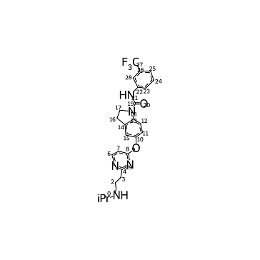 CC(C)NCCc1nccc(Oc2ccc3c(c2)CCN3C(=O)Nc2cccc(C(F)(F)F)c2)n1